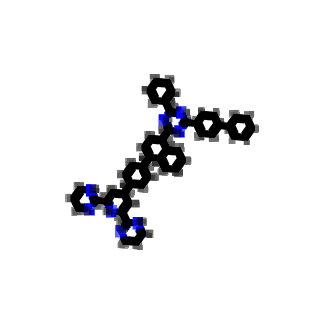 c1ccc(-c2ccc(-c3nc(-c4ccccc4)nc(-c4ccc(-c5ccc(-c6cc(-c7ncccn7)nc(-c7ncccn7)c6)cc5)c5ccccc45)n3)cc2)cc1